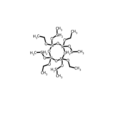 CCO[Si]1(O[SiH2]C)O[Si](OCC)(O[SiH2]C)O[Si](OCC)(O[SiH2]C)O[Si](OCC)(O[SiH2]C)O1